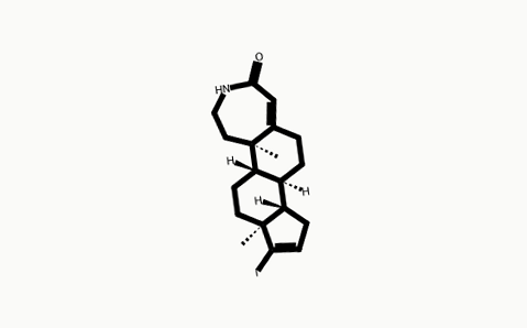 C[C@]12CCNC(=O)C=C1CC[C@@H]1[C@@H]2CC[C@]2(C)C(I)=CC[C@@H]12